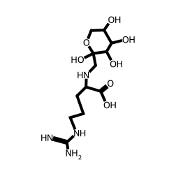 N=C(N)NCCCC(NCC1(O)OCC(O)C(O)C1O)C(=O)O